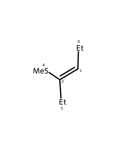 CCC=C(CC)SC